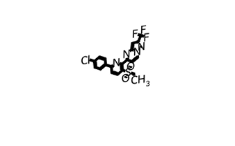 CCS(=O)(=O)c1ccc(-c2ccc(Cl)cc2)nc1-c1ccn2nc(C(F)(F)F)cc2n1